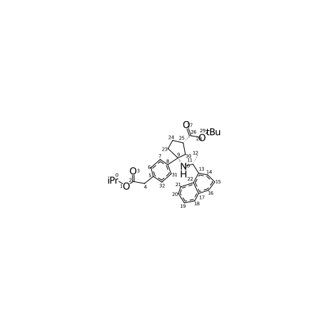 CC(C)OC(=O)Cc1ccc([C@@]2(N[C@H](C)c3cccc4ccccc34)CC[C@H](C(=O)OC(C)(C)C)C2)cc1